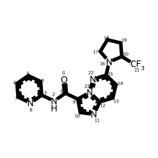 O=C(Nc1ccccn1)c1cnc2ccc(N3CCCC3C(F)(F)F)nn12